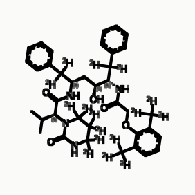 [2H]C([2H])([2H])c1cccc(C([2H])([2H])[2H])c1OCC(=O)N[C@H]([C@@H](O)C[C@@H](NC(=O)[C@H](C(C)C)N1C(=O)NC([2H])([2H])C([2H])([2H])C1([2H])[2H])C([2H])([2H])c1ccccc1)C([2H])([2H])c1ccccc1